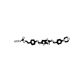 CCCCCCC(=O)OCCc1ccc(N=Nc2cc3sc(N=Nc4ccc(N5CCOCC5)cc4)nc3s2)cc1